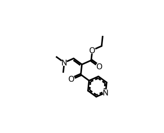 CCOC(=O)/C(=C/N(C)C)C(=O)c1ccncc1